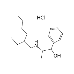 CCCCC(CC)CNC(C)C(O)c1ccccc1.Cl